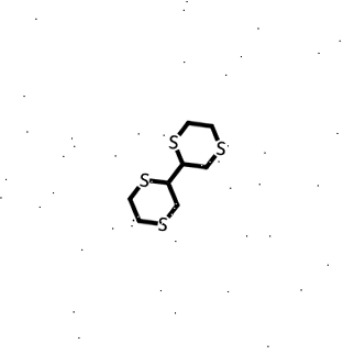 [CH]1CSC(C2CSCCS2)CS1